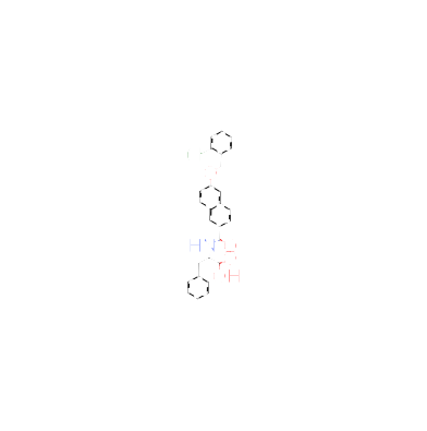 O=C(NC(Cc1ccccc1)C(=O)O)c1ccc2cc(OCc3ccccc3Cl)ccc2c1